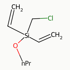 C=C[Si](C=C)(CCl)OCCC